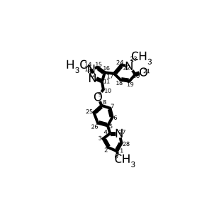 Cc1ccc(-c2ccc(OCc3nn(C)cc3-c3ccc(=O)n(C)c3)cc2)nc1